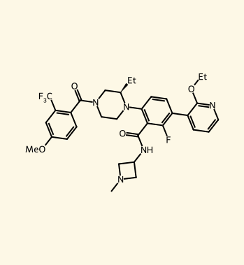 CCOc1ncccc1-c1ccc(N2CCN(C(=O)c3ccc(OC)cc3C(F)(F)F)C[C@H]2CC)c(C(=O)NC2CN(C)C2)c1F